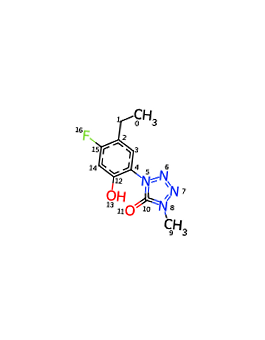 CCc1cc(-n2nnn(C)c2=O)c(O)cc1F